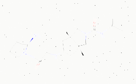 CC(C)NC(=O)N1C[C@H]2C[C@@H](NCC(=O)N3CCC[C@H]3N)C[C@H]2C1